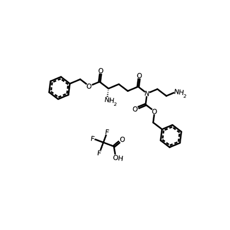 NCCN(C(=O)CC[C@H](N)C(=O)OCc1ccccc1)C(=O)OCc1ccccc1.O=C(O)C(F)(F)F